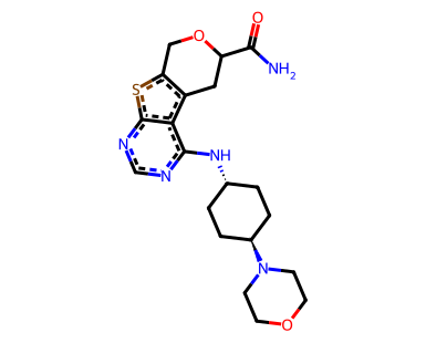 NC(=O)C1Cc2c(sc3ncnc(N[C@H]4CC[C@H](N5CCOCC5)CC4)c23)CO1